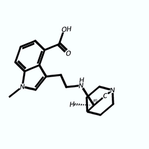 Cn1cc(CCN[C@H]2CN3CCC2CC3)c2c(C(=O)O)cccc21